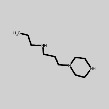 CCCNCCCN1CCNCC1